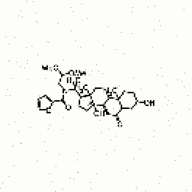 COC(CN(C(=O)c1ccco1)C(C)C1CC[C@@]2(O)C3=CC(=O)C4CC(O)CCC4(C)C3CCC12C)OC